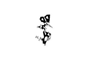 CC12OC(=O)OC1C(CO[Si](c1ccccc1)(c1ccccc1)C(C)(C)C)OC2n1cc2c3c(ncnc31)NC(=O)C=C2N